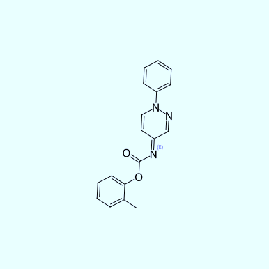 Cc1ccccc1OC(=O)/N=c1\ccn(-c2ccccc2)nc1